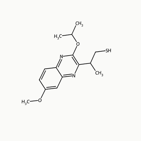 COc1ccc2nc(OC(C)C)c(C(C)CS)nc2c1